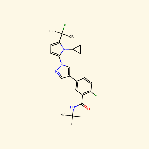 CC(C)(C#N)NC(=O)c1cc(-c2cnn(-c3ccc(C(F)(C(F)(F)F)C(F)(F)F)n3C3CC3)c2)ccc1Cl